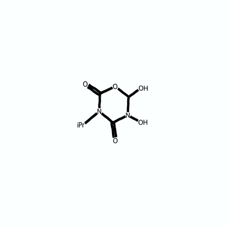 CC(C)N1C(=O)OC(O)N(O)C1=O